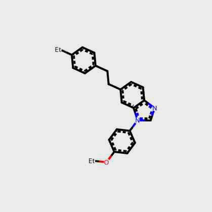 CCOc1ccc(-n2cnc3ccc(CCc4ccc(CC)cc4)cc32)cc1